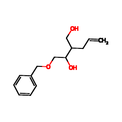 C=CCC(CO)C(O)COCc1ccccc1